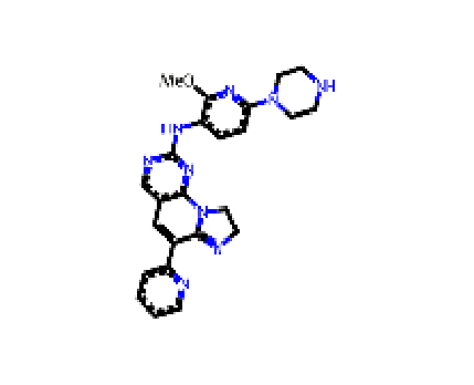 COc1nc(N2CCNCC2)ccc1Nc1ncc2c(n1)N1CCN=C1C(c1ccccn1)=C2